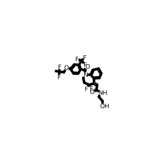 CC(F)(F)COc1ccc(C(=O)N2CCC(F)(F)/C(=C\C(=O)NCCO)c3ccccc32)c(C(F)(F)F)c1